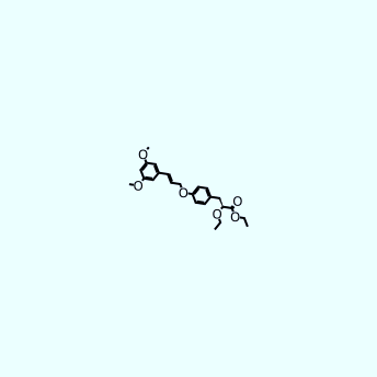 CCOC(=O)[C@H](Cc1ccc(OC/C=C/c2cc(OC)cc(OC)c2)cc1)OCC